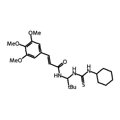 COc1cc(C=CC(=O)NC(NC(=S)NC2CCCCC2)C(C)(C)C)cc(OC)c1OC